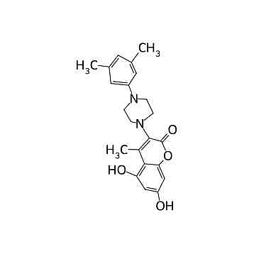 Cc1cc(C)cc(N2CCN(c3c(C)c4c(O)cc(O)cc4oc3=O)CC2)c1